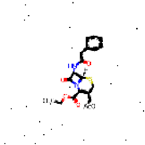 CC(=O)OCC1=C(C(=O)OCC(Cl)(Cl)Cl)N2C(=O)[C@@H](NC(=O)Cc3ccccc3)[C@@H]2SC1